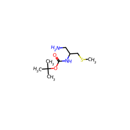 CSCC(CN)NC(=O)OC(C)(C)C